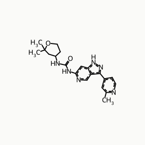 Cc1cc(-c2n[nH]c3cc(NC(=O)NC4CCOC(C)(C)C4)ncc23)ccn1